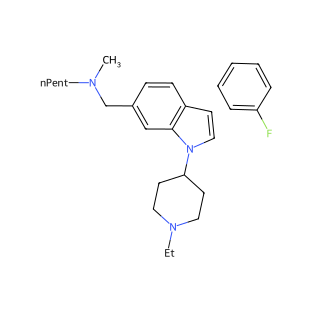 CCCCCN(C)Cc1ccc2ccn(C3CCN(CC)CC3)c2c1.Fc1ccccc1